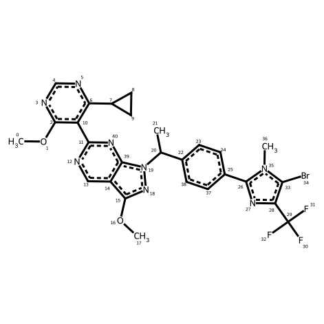 COc1ncnc(C2CC2)c1-c1ncc2c(OC)nn(C(C)c3ccc(-c4nc(C(F)(F)F)c(Br)n4C)cc3)c2n1